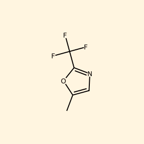 Cc1cnc(C(F)(F)F)o1